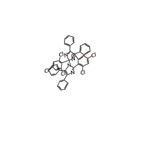 Clc1cc(Cl)c(-c2nc(-c3ccccc3)c(-c3ccccc3)n2C2(c3c(Cl)cc(Cl)cc3Cl)N=C(c3ccccc3)C(c3ccccc3)=N2)c(Cl)c1